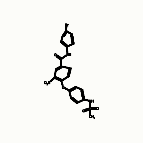 CS(=O)(=O)Nc1ccc(Oc2ccc(C(=O)Nc3ccc(Br)cc3)cc2[N+](=O)[O-])cc1